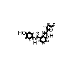 O=C(Nc1ccc(O)cc1)c1cccc2[nH]c(-c3ccc(F)o3)nc12